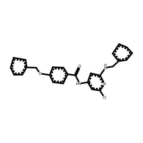 O=C(Nc1cc(Cl)nc(NCc2ccccc2)c1)c1ccc(OCc2ccccc2)cc1